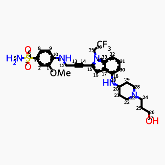 COc1cc(S(N)(=O)=O)ccc1NCC#Cc1cc2c(NC3CCN(CCCO)CC3)cccc2n1CC(F)(F)F